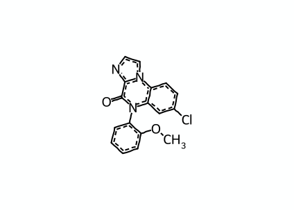 COc1ccccc1-n1c(=O)c2nccn2c2ccc(Cl)cc21